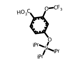 CC(C)[Si](Oc1ccc(C(=O)O)c(OC(F)(F)F)c1)(C(C)C)C(C)C